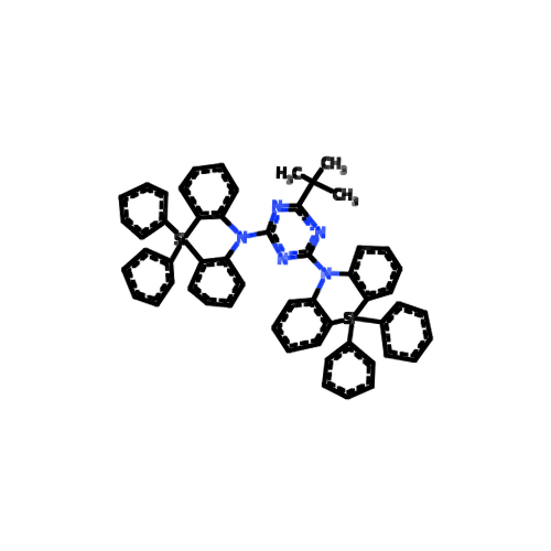 CC(C)(C)c1nc(N2c3ccccc3[Si](c3ccccc3)(c3ccccc3)c3ccccc32)nc(N2c3ccccc3[Si](c3ccccc3)(c3ccccc3)c3ccccc32)n1